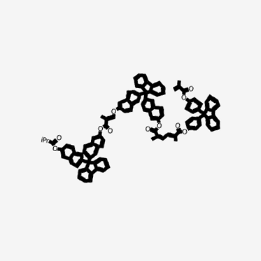 C=C(C)C(=O)Oc1ccc(C2(c3ccc(OC(=O)/C(C)=C/C=C(/C)C(=O)Oc4ccc5cc(C6(c7ccc8cc(O/C=C(\C)C(=O)Oc9ccc%10cc(C%11(c%12ccc%13cc(OC(=O)C(C)C)ccc%13c%12)c%12ccccc%12-c%12ccccc%12%11)ccc%10c9)ccc8c7)c7ccccc7-c7ccccc76)ccc5c4)cc3)c3ccccc3-c3ccccc32)cc1